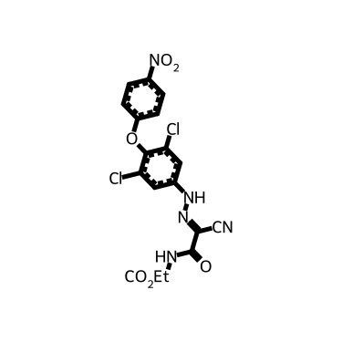 CCOC(=O)NC(=O)/C(C#N)=N/Nc1cc(Cl)c(Oc2ccc([N+](=O)[O-])cc2)c(Cl)c1